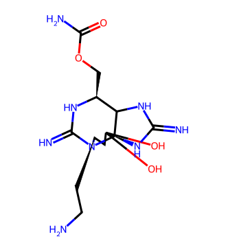 N=C1NC2[C@H](COC(N)=O)NC(=N)N3[C@@H](CCN)CC(O)(O)[C@]23N1